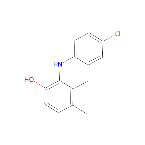 Cc1ccc(O)c(Nc2ccc(Cl)cc2)c1C